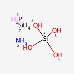 N.O[Si](O)(O)O.P.[SiH4]